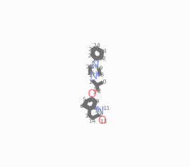 CC(COc1ccc2c(c1)N(C)C(=O)CC2)CN1CCN(c2ccccc2)CC1